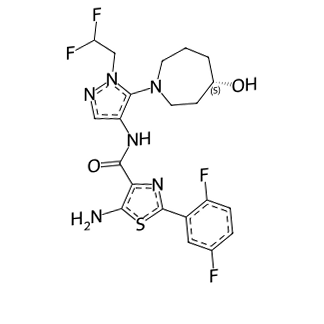 Nc1sc(-c2cc(F)ccc2F)nc1C(=O)Nc1cnn(CC(F)F)c1N1CCC[C@H](O)CC1